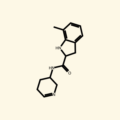 Cc1cccc2c1NC(C(=O)NC1CCC=NC1)C2